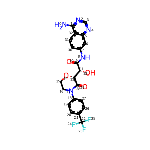 Nc1ncnc2cc(NC(=O)[C@H](O)[C@H]3OCCN(c4ccc(C(F)(F)F)cc4)C3=O)ccc12